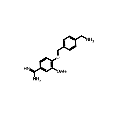 COc1cc(C(=N)N)ccc1OCc1ccc(CN)cc1